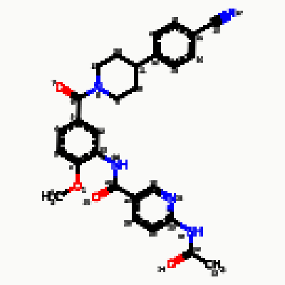 COc1ccc(C(=O)N2CCC(c3ccc(C#N)cc3)CC2)cc1NC(=O)c1ccc(NC(C)=O)nc1